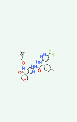 CC1CCC(C(Nc2ccc(C(F)F)nn2)C(=O)Nc2cc3c(cn2)C2(CCOCC2)C(=O)N3COCC[Si](C)(C)C)CC1